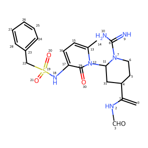 C=C(NC=O)C1CCN(C(=N)N)C(n2c(C)ccc(NS(=O)(=O)Cc3ccccc3)c2=O)C1